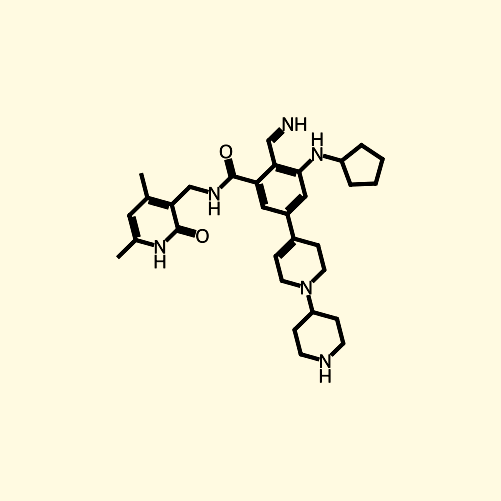 Cc1cc(C)c(CNC(=O)c2cc(C3=CCN(C4CCNCC4)CC3)cc(NC3CCCC3)c2C=N)c(=O)[nH]1